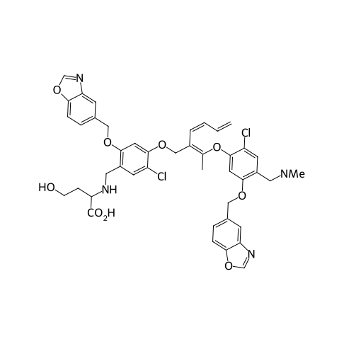 C=C/C=C\C(COc1cc(OCc2ccc3ocnc3c2)c(CNC(CCO)C(=O)O)cc1Cl)=C(\C)Oc1cc(OCc2ccc3ocnc3c2)c(CNC)cc1Cl